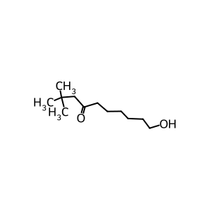 CC(C)(C)CC(=O)CCCCCCO